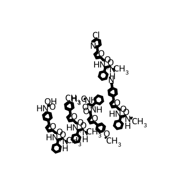 CCNC(=O)[C@@H](NC(=O)c1ccc(-c2ccc(C#N)cc2)o1)C1CCCCC1.CCOc1ccc(-c2ccc(C(=O)N[C@H](C(=O)NC)C3CCCCC3)o2)cc1.CNC(=O)[C@@H](NC(=O)c1ccc(-c2ccc(C)cc2)o1)C1CCCCC1.CNC(=O)[C@@H](NC(=O)c1ccc(-c2ccc(Cl)cn2)o1)C1CCCCC1.CNC(=O)[C@@H](NC(=O)c1ccc(-c2ccc(NC(=O)O)cc2)o1)C1CCCCC1